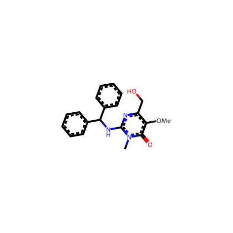 COc1c(CO)nc(NC(c2ccccc2)c2ccccc2)n(C)c1=O